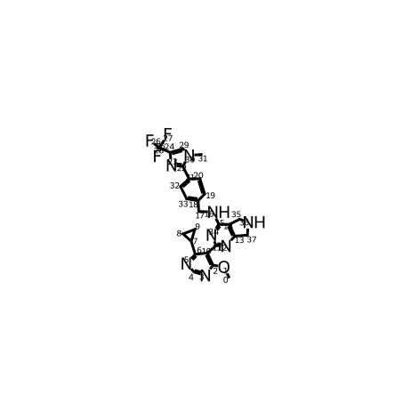 COc1ncnc(C2CC2)c1-c1nc2c(c(NCc3ccc(-c4nc(C(F)(F)F)cn4C)cc3)n1)CNC2